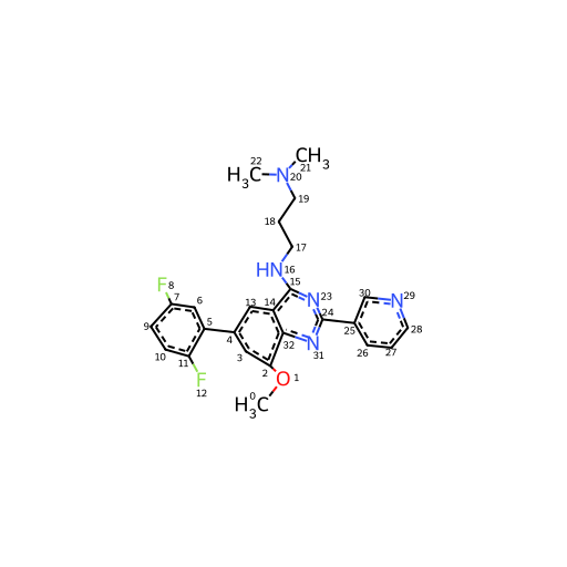 COc1cc(-c2cc(F)ccc2F)cc2c(NCCCN(C)C)nc(-c3cccnc3)nc12